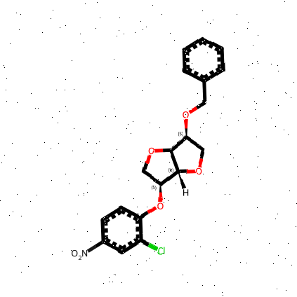 O=[N+]([O-])c1ccc(O[C@H]2COC3[C@@H](OCc4ccccc4)CO[C@@H]32)c(Cl)c1